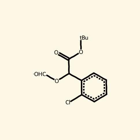 CC(C)(C)OC(=O)C(O[C]=O)c1ccccc1Cl